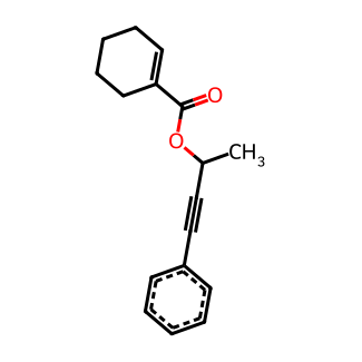 CC(C#Cc1ccccc1)OC(=O)C1=CCCCC1